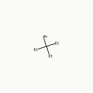 CCC(CC)(CC)[C](C)C